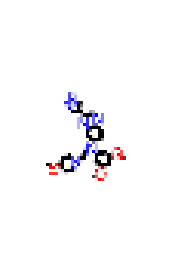 COc1cc(OC)cc(N(CCN2CCC(OC)CC2)c2ccc3ncc(-c4cnn(C)c4)nc3c2)c1